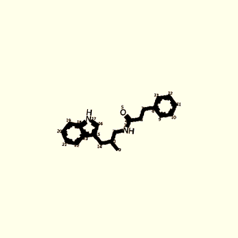 C[C](CNC(=O)CCc1ccccc1)Cc1c[nH]c2ccccc12